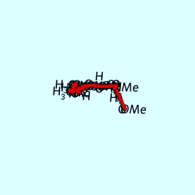 COC(=O)CCCCCCCCCCCCCCCCC(=O)N[C@@H](CCC(=O)NCCOCCOCC(=O)NCCOCCOCC(=O)NCc1ncc(-c2ccc3c(c2)c(C(C)=O)nn3CC(=O)N2[C@H](C(=O)Nc3nc(Br)ccc3C)C[C@@]3(C)C[C@@H]23)cn1)C(=O)OC